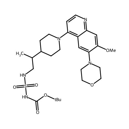 COc1cc2nccc(N3CCC(C(C)CNS(=O)(=O)NC(=O)OC(C)(C)C)CC3)c2cc1N1CCOCC1